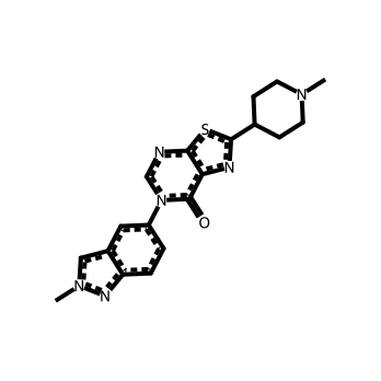 CN1CCC(c2nc3c(=O)n(-c4ccc5nn(C)cc5c4)cnc3s2)CC1